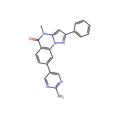 Cn1c(=O)c2ccc(-c3cnc(N)nc3)cc2n2nc(-c3ccccc3)cc12